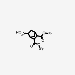 CC(C)OC(=O)C1C2CC(C1C(=O)OC(C)C)C(S(=O)(=O)O)C2